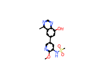 COc1ncc(-c2cc(O)c3ncnc(C)c3c2)cc1NS(C)(=O)=O